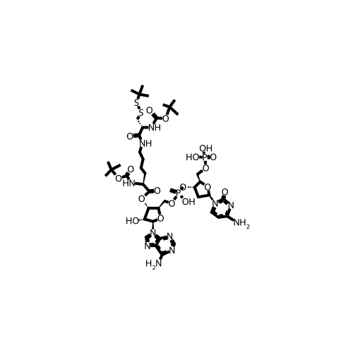 C=P(O)(OC[C@H]1O[C@@H](n2cnc3c(N)ncnc32)[C@H](O)[C@@H]1OC(=O)[C@H](CCCCNC(=O)[C@H](CSSC(C)(C)C)NC(=O)OC(C)(C)C)NC(=O)OC(C)(C)C)O[C@H]1C[C@H](n2ccc(N)nc2=O)O[C@@H]1COP(=O)(O)O